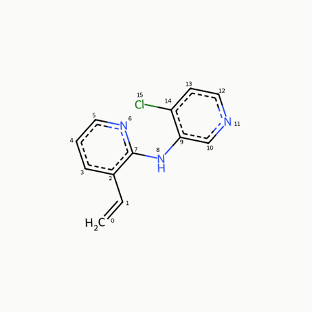 C=Cc1cccnc1Nc1cnccc1Cl